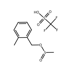 Cc1ccccc1COS(C)=O.O=S(=O)(O)C(F)(F)F